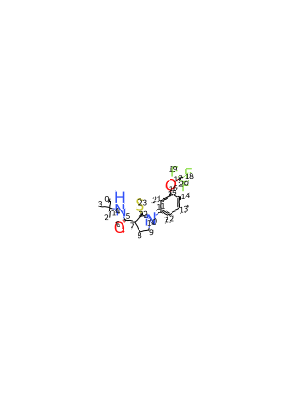 CC(C)(C)NC(=O)C1CCN(c2cccc(OC(F)(F)F)c2)C1=S